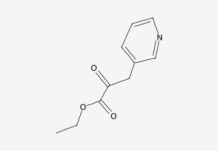 CCOC(=O)C(=O)Cc1cccnc1